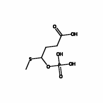 CSC(CCC(=O)O)OP(=O)(O)O